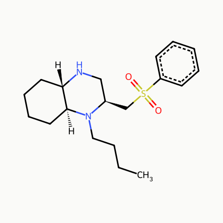 CCCCN1[C@H](CS(=O)(=O)c2ccccc2)CN[C@H]2CCCC[C@@H]21